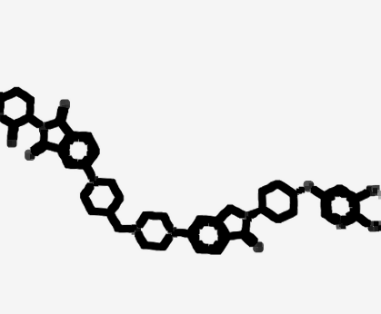 N#Cc1ncc(O[C@H]2CC[C@H](N3Cc4cc(N5CCN(CC6CCN(c7ccc8c(c7)C(=O)N(C7CCC(=O)NC7=O)C8=O)CC6)CC5)ccc4C3=O)CC2)cc1C(F)(F)F